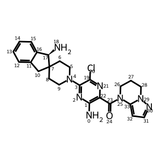 Nc1nc(N2CCC3(CC2)Cc2ccccc2[C@H]3N)c(Cl)nc1C(=O)N1CCCn2nccc21